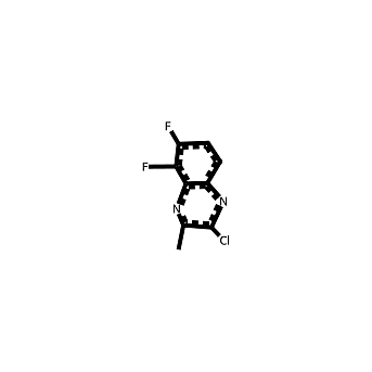 Cc1nc2c(F)c(F)ccc2nc1Cl